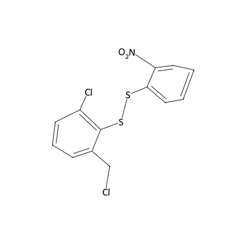 O=[N+]([O-])c1ccccc1SSc1c(Cl)cccc1CCl